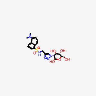 CN(C)c1cccc2c(S(=O)(=O)NCc3cn([C@H]4C(O)O[C@H](CO)[C@@H](O)[C@@H]4O)nn3)cccc12